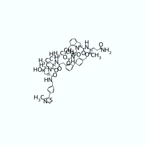 Cc1ncsc1-c1ccc(CNC(=O)[C@@H]2C[C@@H](O)CN2C(=O)[C@@H](NC(=O)Cc2cccc(-c3ccc(CO[C@H](C)[C@H](CCC(N)=O)NC(=O)[C@@H]4Cc5cccc6c5N4C(=O)[C@@H](NC(=O)OC(C)(C)C)CC6)cc3)c2)C(C)(C)C)cc1